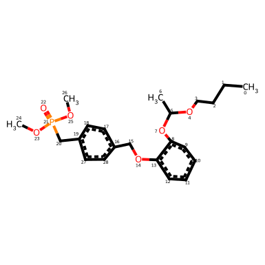 CCCCOC(C)Oc1ccccc1OCc1ccc(CP(=O)(OC)OC)cc1